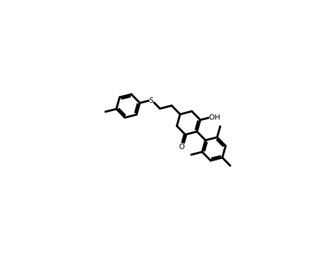 Cc1ccc(SCCC2CC(=O)C(c3c(C)cc(C)cc3C)=C(O)C2)cc1